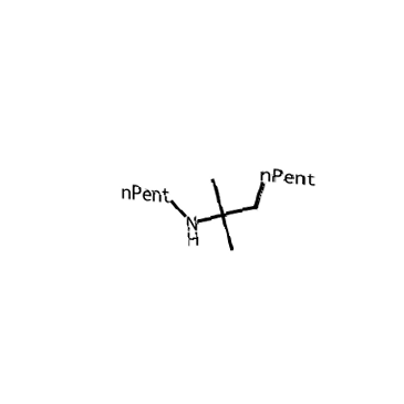 CCCCCCC(C)(C)NCCCCC